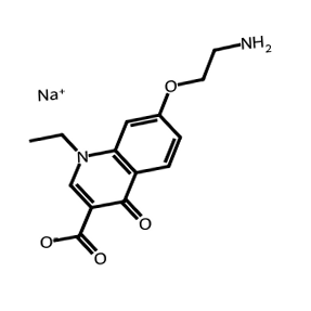 CCn1cc(C(=O)[O-])c(=O)c2ccc(OCCN)cc21.[Na+]